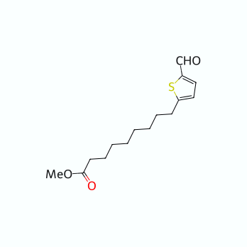 COC(=O)CCCCCCCCc1ccc(C=O)s1